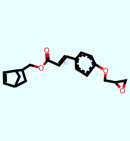 O=C(/C=C/c1ccc(OCC2CO2)cc1)OCC1CC2C=CC1C2